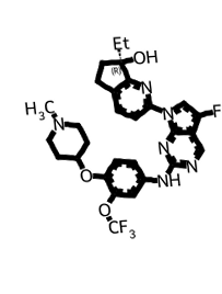 CC[C@@]1(O)CCc2ccc(-n3cc(F)c4cnc(Nc5ccc(OC6CCN(C)CC6)c(OC(F)(F)F)c5)nc43)nc21